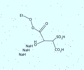 CCOOC(=O)C(O)C(C(=O)O)S(=O)(=O)O.[NaH].[NaH].[NaH]